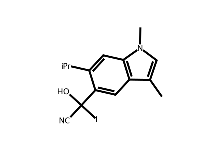 Cc1cn(C)c2cc(C(C)C)c(C(O)(I)C#N)cc12